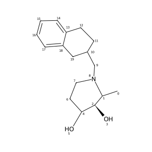 CC1[C@@H](O)C(O)CCN1CC1CCc2ccccc2C1